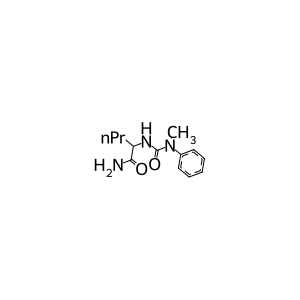 CCCC(NC(=O)N(C)c1ccccc1)C(N)=O